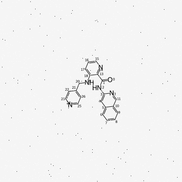 O=C(Nc1cc2ccccc2cn1)c1ncccc1NCc1ccncc1